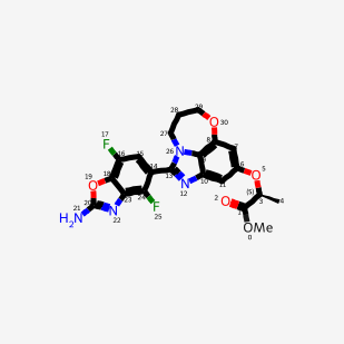 COC(=O)[C@H](C)Oc1cc2c3c(c1)nc(-c1cc(F)c4oc(N)nc4c1F)n3CCCO2